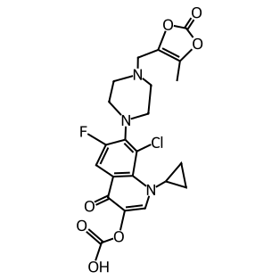 Cc1oc(=O)oc1CN1CCN(c2c(F)cc3c(=O)c(OC(=O)O)cn(C4CC4)c3c2Cl)CC1